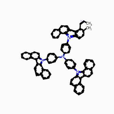 C/C=C\c1c(C)ccc2c1c1ccc3ccccc3c1n2-c1ccc(N(c2ccc(-n3c4ccc5ccccc5c4c4ccc5ccccc5c43)cc2)c2ccc(-n3c4ccc5ccccc5c4c4ccc5ccccc5c43)cc2)cc1